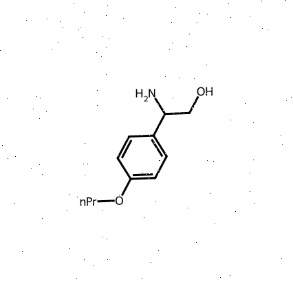 CCCOc1ccc(C(N)CO)cc1